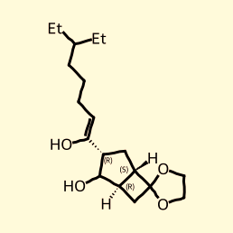 CCC(CC)CCCC=C(O)[C@@H]1C[C@H]2[C@@H](CC23OCCO3)C1O